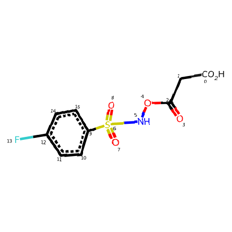 O=C(O)CC(=O)ONS(=O)(=O)c1ccc(F)cc1